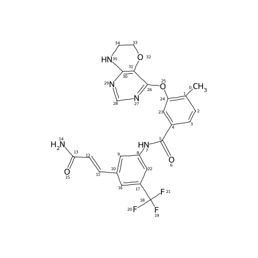 Cc1ccc(C(=O)Nc2cc(C=CC(N)=O)cc(C(F)(F)F)c2)cc1Oc1ncnc2c1OCCN2